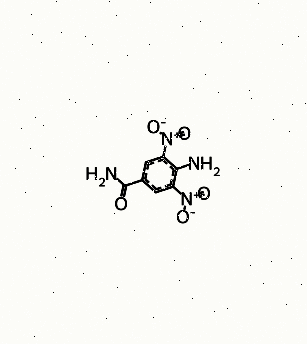 NC(=O)c1cc([N+](=O)[O-])c(N)c([N+](=O)[O-])c1